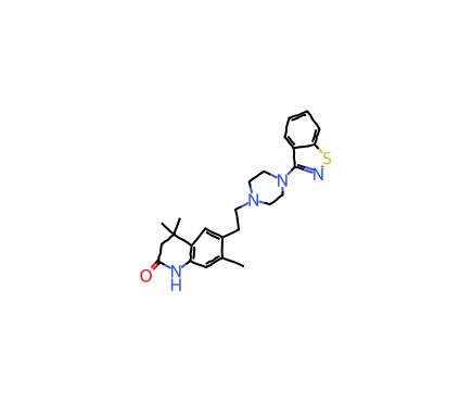 Cc1cc2c(cc1CCN1CCN(c3nsc4ccccc34)CC1)C(C)(C)CC(=O)N2